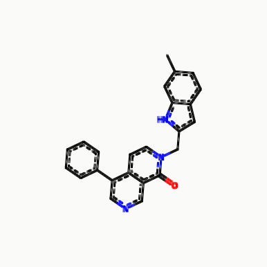 Cc1ccc2cc(Cn3ccc4c(-c5ccccc5)cncc4c3=O)[nH]c2c1